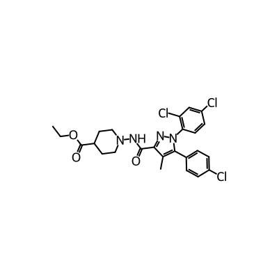 CCOC(=O)C1CCN(NC(=O)c2nn(-c3ccc(Cl)cc3Cl)c(-c3ccc(Cl)cc3)c2C)CC1